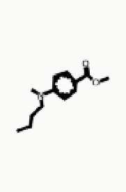 CCCCN(C)c1ccc(C(=O)OC)cc1